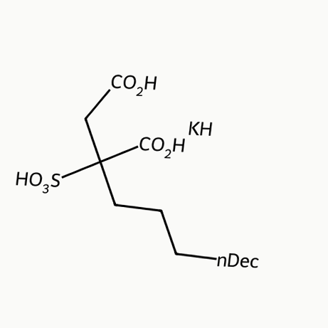 CCCCCCCCCCCCCC(CC(=O)O)(C(=O)O)S(=O)(=O)O.[KH]